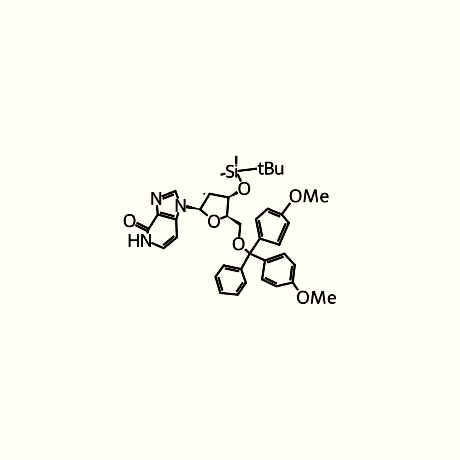 COc1ccc(C(OC[C@H]2O[C@@H](n3cnc4c(=O)[nH]ccc43)[CH][C@H]2O[Si](C)(C)C(C)(C)C)(c2ccccc2)c2ccc(OC)cc2)cc1